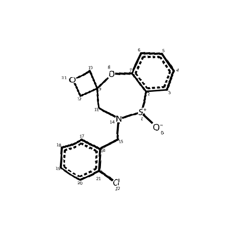 [O-][S+]1c2ccccc2OC2(COC2)CN1Cc1ccccc1Cl